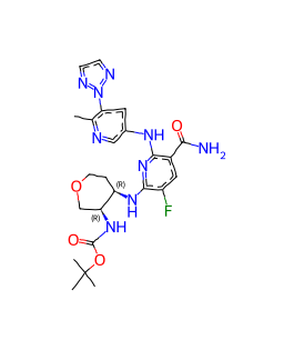 Cc1ncc(Nc2nc(N[C@@H]3CCOC[C@@H]3NC(=O)OC(C)(C)C)c(F)cc2C(N)=O)cc1-n1nccn1